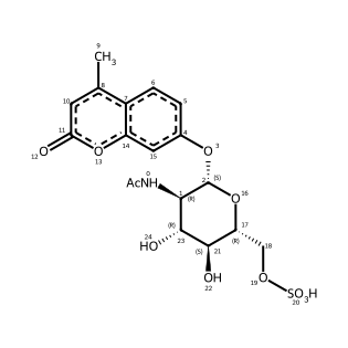 CC(=O)N[C@H]1[C@H](Oc2ccc3c(C)cc(=O)oc3c2)O[C@H](COS(=O)(=O)O)[C@@H](O)[C@@H]1O